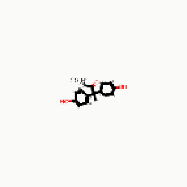 CC(C(=O)CC(=O)O)(c1ccc(O)cc1)c1ccc(O)cc1